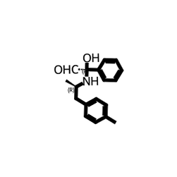 Cc1ccc(C[C@@H](C)N[C@](O)(C=O)c2ccccc2)cc1